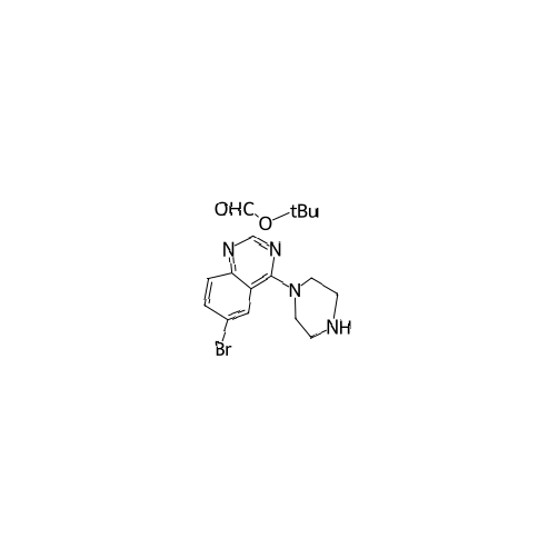 Brc1ccc2ncnc(N3CCNCC3)c2c1.CC(C)(C)OC=O